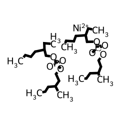 CCCCC(CC)COP(=O)([O-])OCCC(C)CCC.CCCCC(CC)COP(=O)([O-])OCCC(C)CCC.[Ni+2]